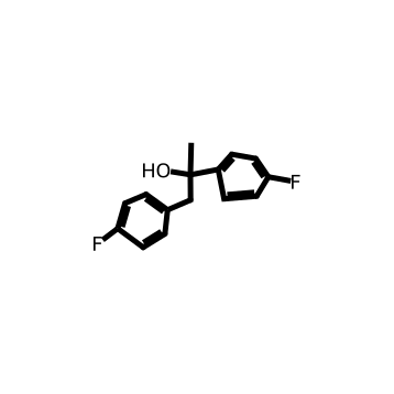 CC(O)(Cc1ccc(F)cc1)c1ccc(F)cc1